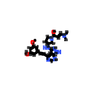 COc1cc(C#Cc2ncnc3[nH]nc(N[C@H]4CCN(C(=O)C=CN(C)C)C4)c23)cc(OC)c1